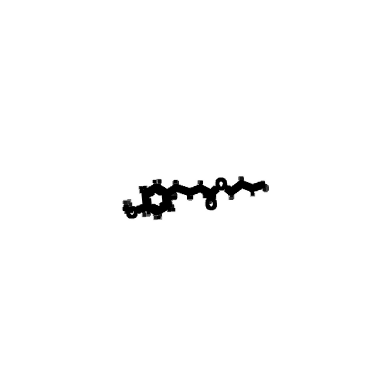 CCCCOC(=O)CCCc1ccc(OC)cc1